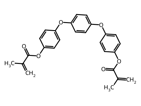 C=C(C)C(=O)Oc1ccc(Oc2ccc(Oc3ccc(OC(=O)C(=C)C)cc3)cc2)cc1